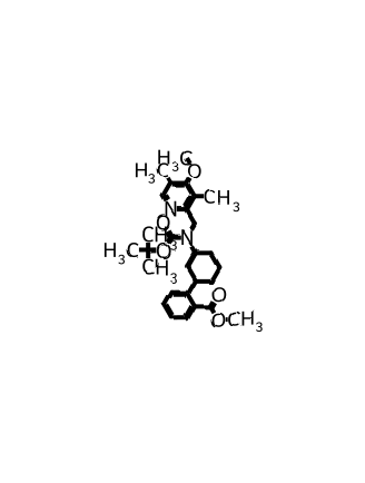 COC(=O)c1ccccc1C1CCCC(N(Cc2ncc(C)c(OC)c2C)C(=O)OC(C)(C)C)C1